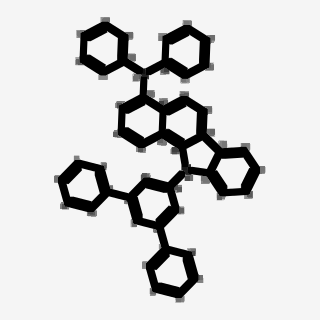 c1ccc(-c2cc(-c3ccccc3)cc(-n3c4ccccc4c4ccc5c(N(c6ccccc6)c6ccccc6)cccc5c43)c2)cc1